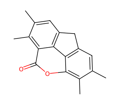 Cc1cc2c3c(oc(=O)c4c(C)c(C)cc(c43)C2)c1C